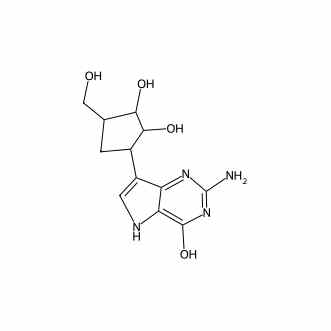 Nc1nc(O)c2[nH]cc(C3CC(CO)C(O)C3O)c2n1